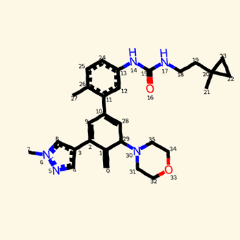 C=C1C(c2cnn(C)c2)=CC(c2cc(NC(=O)NCCC3(C)CC3)ccc2C)=CC1N1CCOCC1